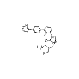 Cc1c(-c2ccc(-c3ccon3)cc2)cccc1-n1cnn(C/C(=C/F)CN)c1=O